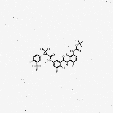 CC(C)(C)OC(=O)Nc1ccc(F)c(NC(=O)c2cc(NC(=O)[C@H]3[C@H](c4ccc(F)c(C(F)(F)F)c4)C3(Cl)Cl)cc(F)c2Cl)c1F